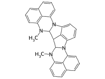 CN1c2cccc3cccc(c23)N2c3cccc4c3C(C12)C1N(C)c2cccc3cccc(c23)N41